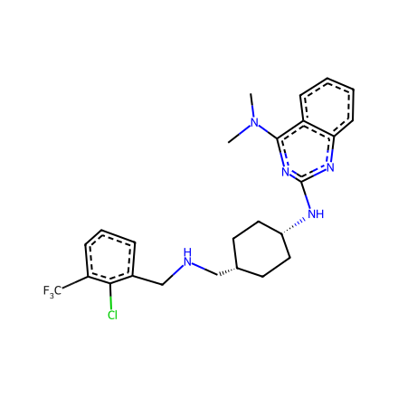 CN(C)c1nc(N[C@H]2CC[C@@H](CNCc3cccc(C(F)(F)F)c3Cl)CC2)nc2ccccc12